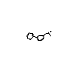 CN(C)Cc1cccc(-c2c[c]ccc2)c1